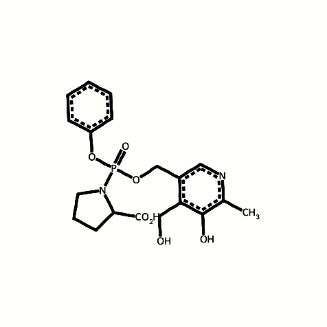 Cc1ncc(COP(=O)(Oc2ccccc2)N2CCCC2C(=O)O)c(CO)c1O